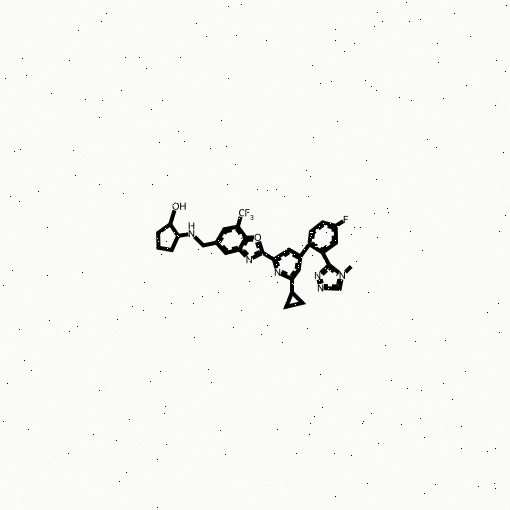 Cn1cnnc1-c1cc(F)ccc1-c1cc(-c2nc3cc(CNC4CCCC4O)cc(C(F)(F)F)c3o2)nc(C2CC2)c1